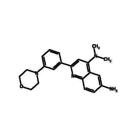 CN(C)c1cc(-c2cccc(N3CCOCC3)c2)nc2ccc(N)cc12